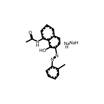 CC(=O)Nc1cccc2ccc(N=Nc3ccccc3C)c(O)c12.[NaH].[NaH]